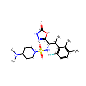 CC(=O)N(C)C1CCN(S(=O)(=O)N[C@H](c2n[nH]c(=O)o2)C(C)c2c(F)ccc(C)c2C)CC1